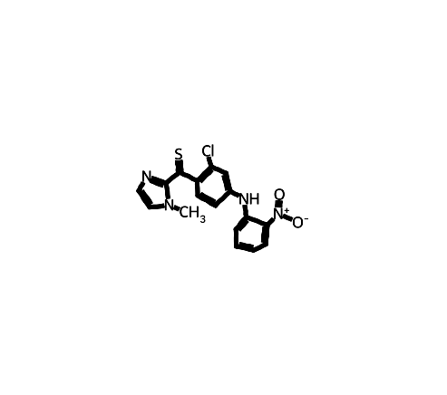 Cn1ccnc1C(=S)c1ccc(Nc2ccccc2[N+](=O)[O-])cc1Cl